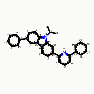 CC(C)n1c2ccc(-c3ccccc3)cc2c2ccc(-c3cccc(-c4ccccc4)n3)cc21